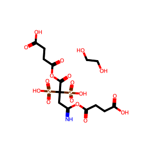 N=C(CC(C(=O)OC(=O)CCC(=O)O)(S(=O)(=O)O)S(=O)(=O)O)OC(=O)CCC(=O)O.OCCO